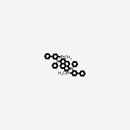 Cc1cc(N(c2ccccc2)c2cc(-c3ccccc3)ccc2C(C)C)c2ccc3c(C)cc(N(c4ccccc4)c4cc(-c5ccccc5)ccc4C(C)C)c4ccc1c2c34